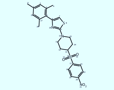 Cc1cc(C)c(-c2csc(N3CCC(S(=O)(=O)c4ccc([N+](=O)[O-])cc4)CC3)n2)c(C)c1